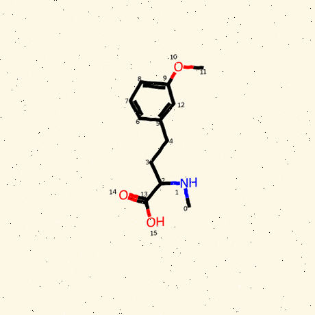 CNC(CCc1cccc(OC)c1)C(=O)O